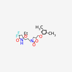 CCOC1(CCCN2CC(COc3cc(C)cc(C)c3)OC2=O)CC(F)(F)C(=O)N1